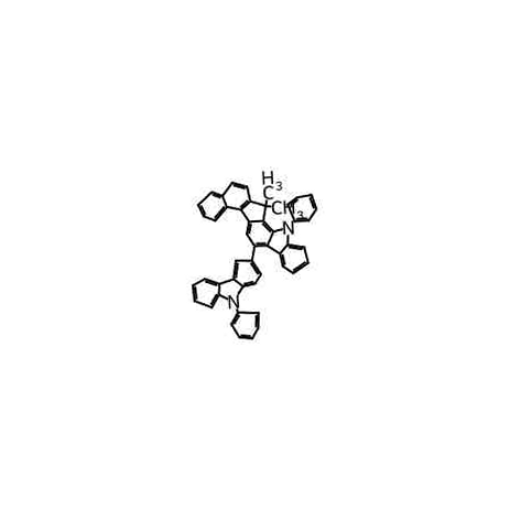 CC1(C)c2ccc3ccccc3c2-c2cc(-c3ccc4c(c3)c3ccccc3n4-c3ccccc3)c3c4ccccc4n(-c4ccccc4)c3c21